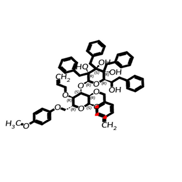 C=CCO[C@H]1O[C@H](COc2ccc(OC)cc2)[C@@H](OCC=C)[C@H](O[C@@H]2O[C@H](C(O)Cc3ccccc3)[C@](O)(Cc3ccccc3)[C@@](O)(Cc3ccccc3)[C@]2(O)Cc2ccccc2)[C@H]1OCc1ccccc1